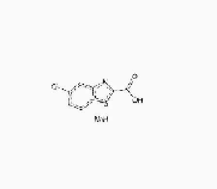 O=C(O)c1nc2cc(Cl)ccc2s1.[NaH]